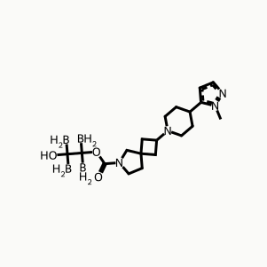 BC(B)(O)C(B)(B)OC(=O)N1CCC2(CC(N3CCC(c4ccnn4C)CC3)C2)C1